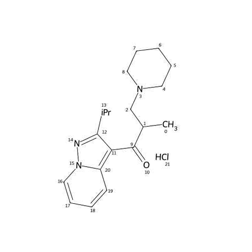 CC(CN1CCCCC1)C(=O)c1c(C(C)C)nn2ccccc12.Cl